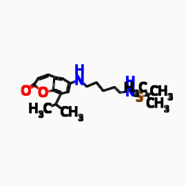 CC(C)c1cc(NCCCCCNSC(C)(C)C)cc2ccc(=O)oc12